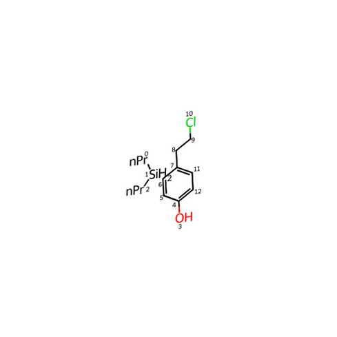 CCC[SiH2]CCC.Oc1ccc(CCCl)cc1